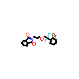 O=C1c2ccccc2C(=O)N1CCCOCC(F)(F)c1ccccc1Br